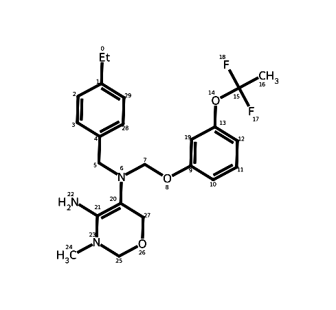 CCc1ccc(CN(COc2cccc(OC(C)(F)F)c2)C2=C(N)N(C)COC2)cc1